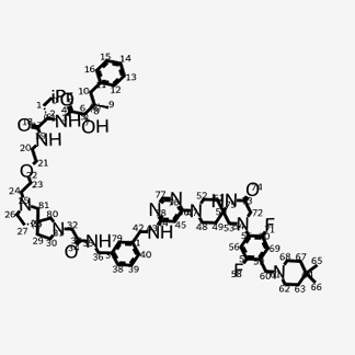 CC(C)C[C@H](NC(=O)[C@@H](O)[C@H](C)Cc1ccccc1)C(=O)NCCOCCN1CC[C@]2(CCN(CC(=O)NCc3cccc(CNc4cc(N5CCC6(CC5)CN(c5cc(F)c(CN7CCC(C)(C)CC7)cc5F)CC(=O)N6)ncn4)c3)C2)C1